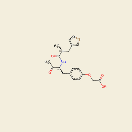 CC(=O)[C@H](Cc1ccc(OCC(=O)O)cc1)NC(=O)[C@@H](C)Cc1ccsc1